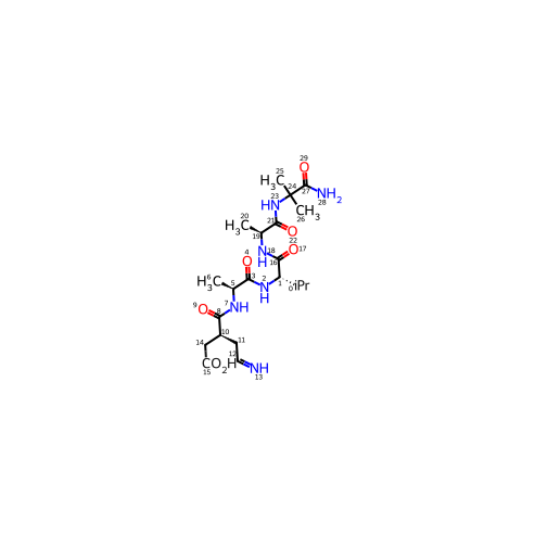 CC(C)[C@H](NC(=O)[C@H](C)NC(=O)[C@@H](CC=N)CC(=O)O)C(=O)N[C@@H](C)C(=O)NC(C)(C)C(N)=O